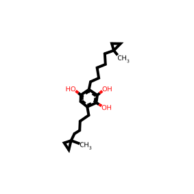 CC1(CCCCCc2c(O)cc(CCCCC3(C)CC3)c(O)c2O)CC1